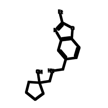 CCc1nc2cc(CNCC3(O)CCCC3)ccc2o1